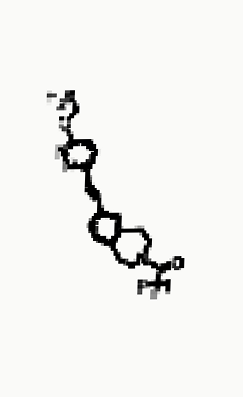 BCOc1ccc(C#Cc2ccc3c(c2)CCN(C(=O)C(F)(F)F)CC3)nn1